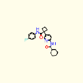 O=C(Nc1ccc(C2(C(=O)Nc3ccc(F)cc3)CCC2)cn1)C1CCCCC1